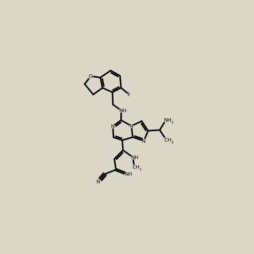 CN/C(=C\C(=N)C#N)c1cnc(NCc2c(F)ccc3c2CCO3)n2cc(C(C)N)nc12